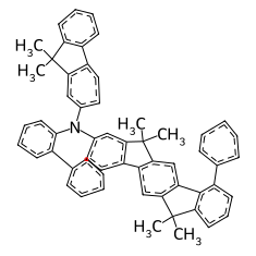 CC1(C)c2ccccc2-c2ccc(N(c3ccc4c(c3)C(C)(C)c3cc5c(cc3-4)C(C)(C)c3cccc(-c4ccccc4)c3-5)c3ccccc3-c3ccccc3)cc21